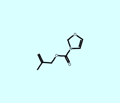 C=C(C)COC(=O)N1C=COC1